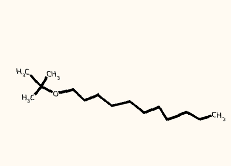 CCCCCCCCCCCOC(C)(C)C